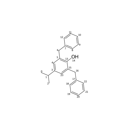 CC(C)c1cc(Cc2ccccc2)c(O)c(Cc2ccccc2)c1